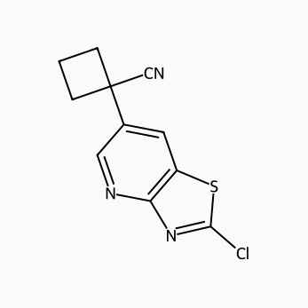 N#CC1(c2cnc3nc(Cl)sc3c2)CCC1